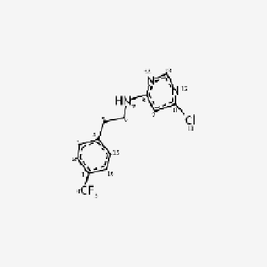 FC(F)(F)c1ccc(CCNc2cc(Cl)ncn2)cc1